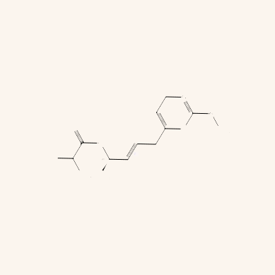 C=C(O[C@H](C)/C=C/CC1=CCN=C(NC)S1)C(C)C